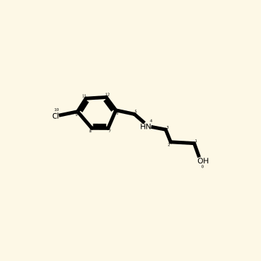 OCCCNCc1ccc(Cl)cc1